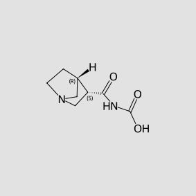 O=C(O)NC(=O)[C@@H]1CN2CC[C@H]1C2